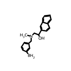 Bc1cccc(CN(C)CC(O)c2ccc3ccccc3c2)c1